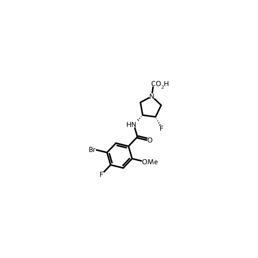 COc1cc(F)c(Br)cc1C(=O)N[C@@H]1CN(C(=O)O)C[C@@H]1F